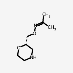 CC(C)=NOC[C@@H]1CNCCO1